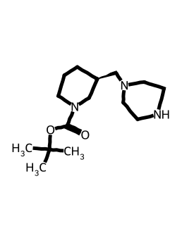 CC(C)(C)OC(=O)N1CCC[C@@H](CN2CCNCC2)C1